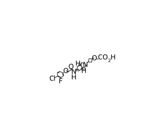 O=C(O)COC1CC(N2C[C@H]3C[C@@H](NC(=O)COc4ccc(Cl)c(F)c4)C[C@H]3C2)C1